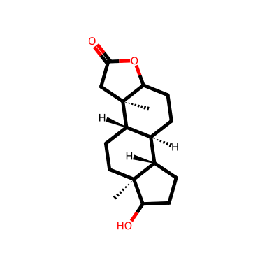 C[C@]12CC(=O)OC1CC[C@@H]1[C@@H]2CC[C@]2(C)C(O)CC[C@@H]12